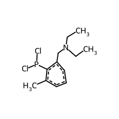 CCN(CC)Cc1cccc(C)c1P(Cl)Cl